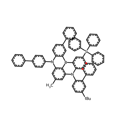 Cc1cc2c3c(c1)N(c1ccc(C(C)(C)C)cc1-c1ccccc1)c1ccc([Si](c4ccccc4)(c4ccccc4)c4ccccc4)cc1B3c1cc(-c3ccccc3)ccc1N2c1ccc(-c2ccccc2)cc1